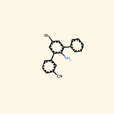 CC(C)(C)c1cc(-c2ccccc2)c(N)c(-c2cccc(C#N)c2)c1